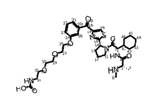 CN[C@@H](C)C(=O)N[C@H](C(=O)N1CCC[C@H]1c1nc(C(=O)c2cccc(OCCOCCOCCNC(=O)O)c2)cs1)C1CCCCC1